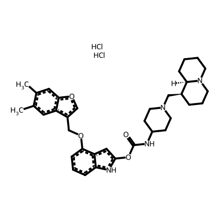 Cc1cc2occ(COc3cccc4[nH]c(OC(=O)NC5CCN(C[C@@H]6CCCN7CCCC[C@H]67)CC5)cc34)c2cc1C.Cl.Cl